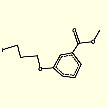 COC(=O)c1cccc(OCCCI)c1